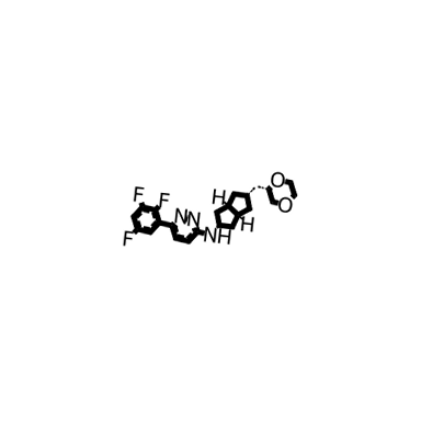 Fc1cc(F)c(F)c(-c2ccc(N[C@H]3C[C@H]4C[C@H](C[C@H]5COCCO5)C[C@H]4C3)nn2)c1